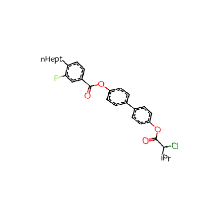 CCCCCCCc1ccc(C(=O)Oc2ccc(-c3ccc(OC(=O)C(Cl)C(C)C)cc3)cc2)cc1F